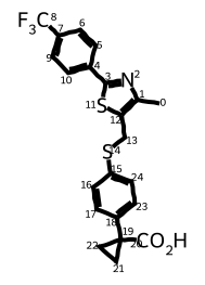 Cc1nc(-c2ccc(C(F)(F)F)cc2)sc1CSc1ccc(C2(C(=O)O)CC2)cc1